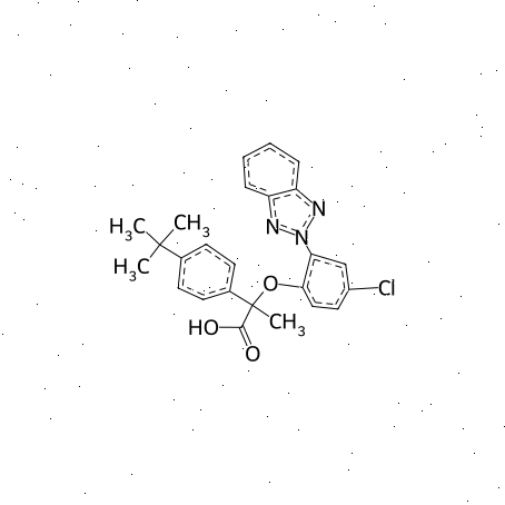 CC(C)(C)c1ccc(C(C)(Oc2ccc(Cl)cc2-n2nc3ccccc3n2)C(=O)O)cc1